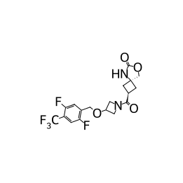 O=C1N[C@]2(CO1)C[C@H](C(=O)N1CC(OCc3cc(F)c(C(F)(F)F)cc3F)C1)C2